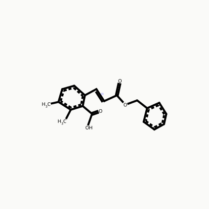 Cc1ccc(/C=C/C(=O)OCc2ccccc2)c(C(=O)O)c1C